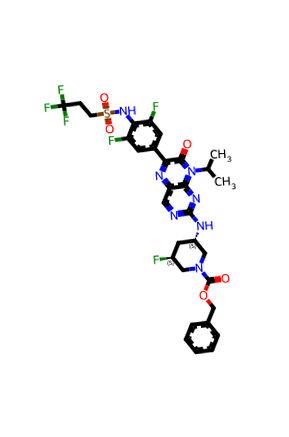 CC(C)n1c(=O)c(-c2cc(F)c(NS(=O)(=O)CCC(F)(F)F)c(F)c2)nc2cnc(N[C@H]3C[C@H](F)CN(C(=O)OCc4ccccc4)C3)nc21